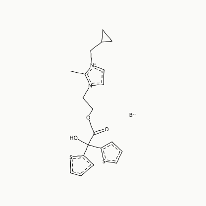 Cc1n(CCOC(=O)C(O)(c2cccs2)c2cccs2)cc[n+]1CC1CC1.[Br-]